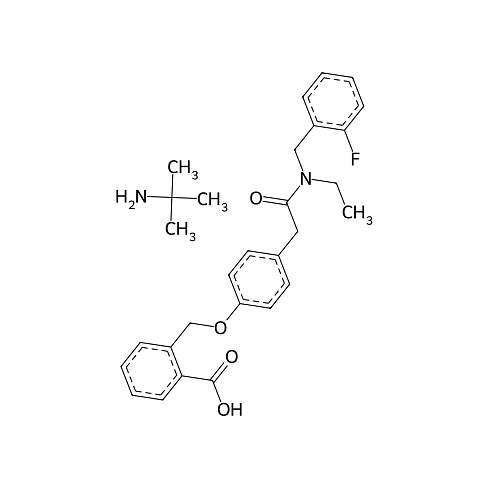 CC(C)(C)N.CCN(Cc1ccccc1F)C(=O)Cc1ccc(OCc2ccccc2C(=O)O)cc1